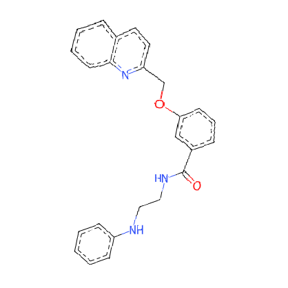 O=C(NCCNc1ccccc1)c1cccc(OCc2ccc3ccccc3n2)c1